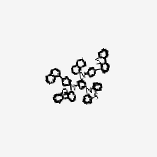 c1ccc2c(c1)Sc1ccccc1N2c1cc(N(c2ccc(-c3cccc4c3sc3ccccc34)cc2)c2cccc3ccccc23)cc(N(c2ccc(-c3cccc4ccccc34)cc2)c2cccc3c2oc2ccccc23)c1